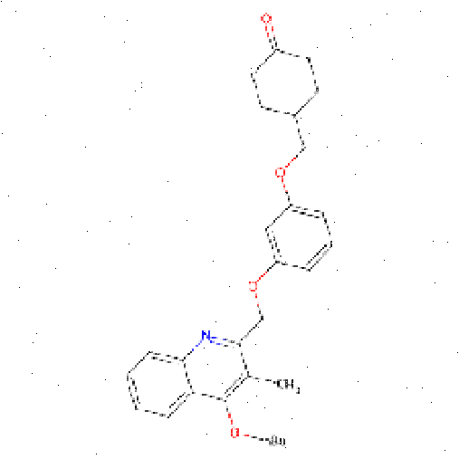 CCCCOc1c(C)c(COc2cccc(OCC3CCC(=O)CC3)c2)nc2ccccc12